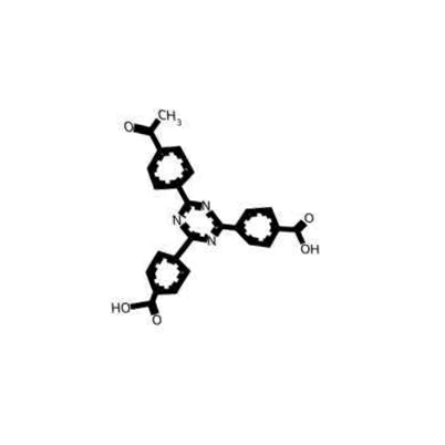 CC(=O)c1ccc(-c2nc(-c3ccc(C(=O)O)cc3)nc(-c3ccc(C(=O)O)cc3)n2)cc1